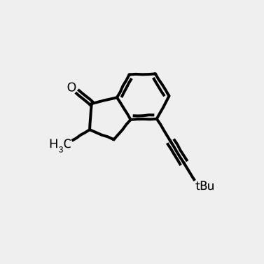 CC1Cc2c(C#CC(C)(C)C)cccc2C1=O